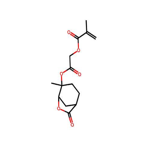 C=C(C)C(=O)OCC(=O)OC1(C)CCC2CC1OC2=O